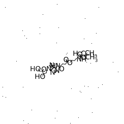 CC(C)(C)OC(=O)NCCCOC(=O)CCC(=O)Nc1ncnc2c1ncn2[C@H]1C[C@@H](O)[C@@H](CO)O1